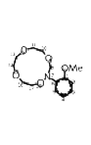 COc1ccccc1N1COCCOCCOCCO1